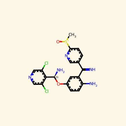 C[S+]([O-])c1ccc(C(=N)c2cc(O[C@H](N)c3c(Cl)cncc3Cl)ccc2N)cn1